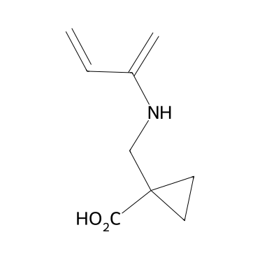 C=CC(=C)NCC1(C(=O)O)CC1